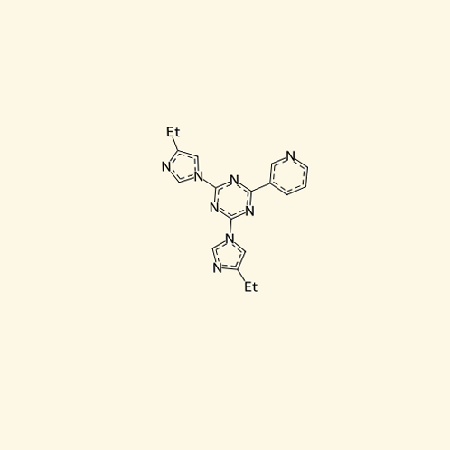 CCc1cn(-c2nc(-c3cccnc3)nc(-n3cnc(CC)c3)n2)cn1